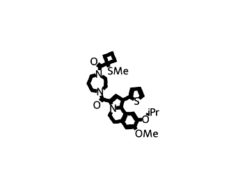 COc1cc2c(cc1OC(C)C)C1C(c3cccs3)C=C(C(=O)N3CCCN(C(=O)C4(SC)CCC4)CC3)N1CC2